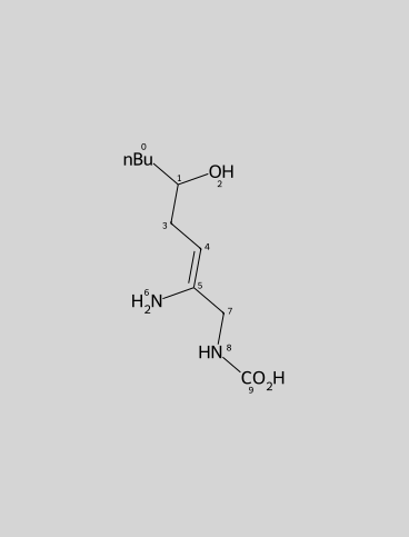 CCCCC(O)CC=C(N)CNC(=O)O